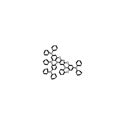 c1ccc(N(c2ccccc2)c2cc3c4c(c2)Oc2nc5c(cc2B4c2ccccc2O3)B2c3ccc(N(c4ccccc4)c4ccccc4)cc3N(c3ccccc3)c3cc(N(c4ccccc4)c4ccccc4)cc(c32)O5)cc1